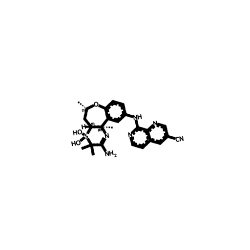 C[C@H]1C[C@@H]2[C@](C)(N=C(N)C(C)(C)S2(O)O)c2cc(Nc3nccc4cc(C#N)cnc34)ccc2O1